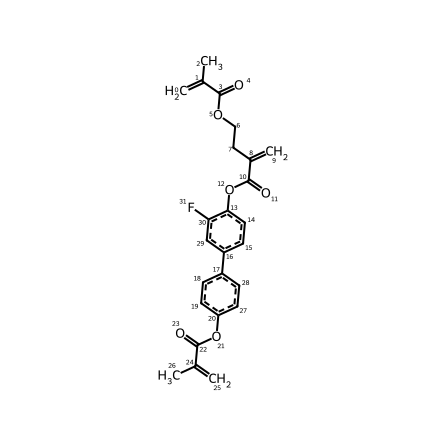 C=C(C)C(=O)OCCC(=C)C(=O)Oc1ccc(-c2ccc(OC(=O)C(=C)C)cc2)cc1F